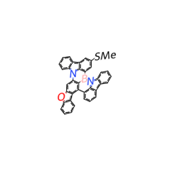 CSc1cc2c3c(c1)c1ccccc1n3-c1cc3oc4ccccc4c3c3c1B2n1c2ccccc2c2cccc-3c21